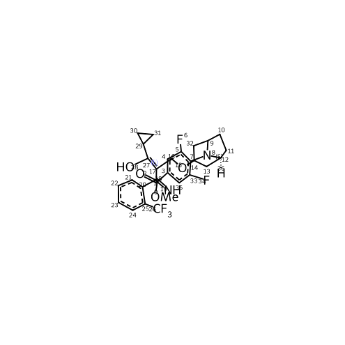 COC(=O)c1cc(F)c(N2C3CC[C@H]2CC(OC/C(C(=N)c2ccccc2C(F)(F)F)=C(/O)C2CC2)C3)c(F)c1